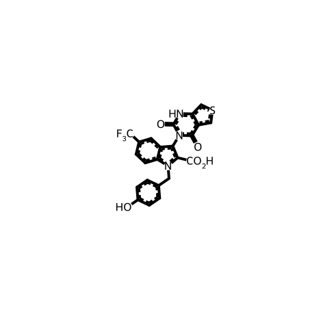 O=C(O)c1c(-n2c(=O)[nH]c3cscc3c2=O)c2cc(C(F)(F)F)ccc2n1Cc1ccc(O)cc1